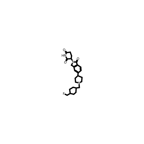 O=C1CCC(N2Cc3cc(C4CCN(CC5CCC(CF)CC5)CC4)ccc3C2=O)C(=O)N1